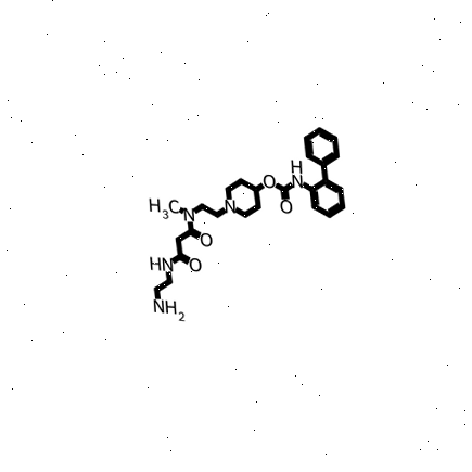 CN(CCN1CCC(OC(=O)Nc2ccccc2-c2ccccc2)CC1)C(=O)CC(=O)NCCN